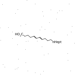 CCCCCCCCCC/C=C/C=C/CCCC(=O)O